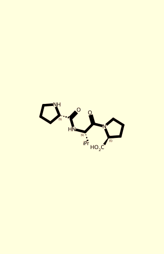 CC(C)[C@H](NC(=O)[C@@H]1CCCN1)C(=O)N1CCC[C@H]1C(=O)O